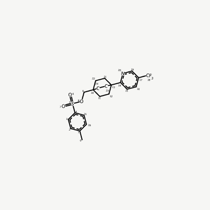 Cc1ccc(S(=O)(=O)OCC23CCC(c4ccc(C(F)(F)F)cn4)(CC2)CC3)cc1